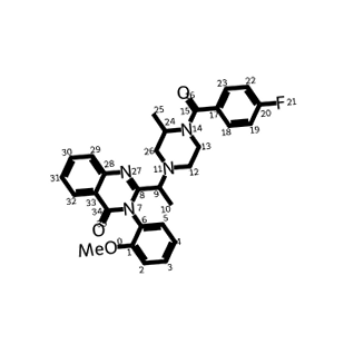 COc1ccccc1-n1c(C(C)N2CCN(C(=O)c3ccc(F)cc3)C(C)C2)nc2ccccc2c1=O